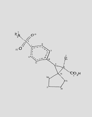 CCC1(C(=O)O)C(c2ccc(S(N)(=O)=O)cc2)C12CCCC2